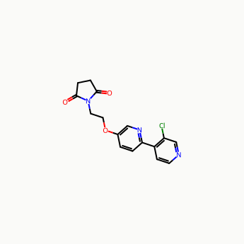 O=C1CCC(=O)N1CCOc1ccc(-c2ccncc2Cl)nc1